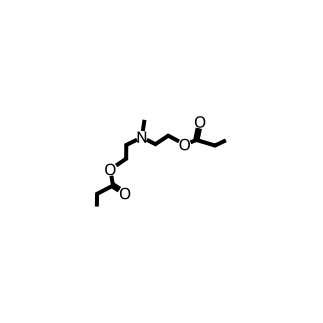 CCC(=O)OCCN(C)CCOC(=O)CC